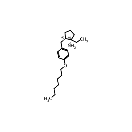 CCCCCCCOc1ccc(C[C@H]2CCC[C@@]2(N)CC)cc1